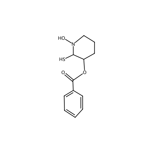 O=C(OC1CCCN(O)C1S)c1ccccc1